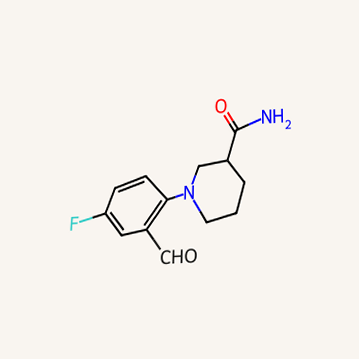 NC(=O)C1CCCN(c2ccc(F)cc2C=O)C1